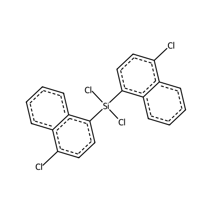 Clc1ccc([Si](Cl)(Cl)c2ccc(Cl)c3ccccc23)c2ccccc12